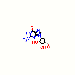 Nc1nc2c(ncn2[C@@H]2C[C@H](CO)[C@@H](O)[C@H]2O)c(=O)[nH]1